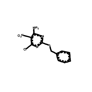 Nc1nc(SCc2ccccc2)nc(Cl)c1[N+](=O)[O-]